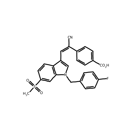 CS(=O)(=O)c1ccc2c(C=C(C#N)c3ccc(C(=O)O)cc3)cn(Cc3ccc(F)cc3)c2c1